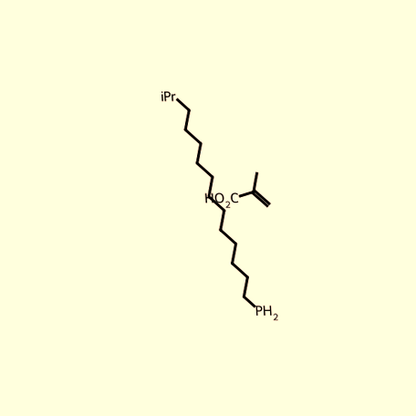 C=C(C)C(=O)O.CC(C)CCCCCCCCCCCCP